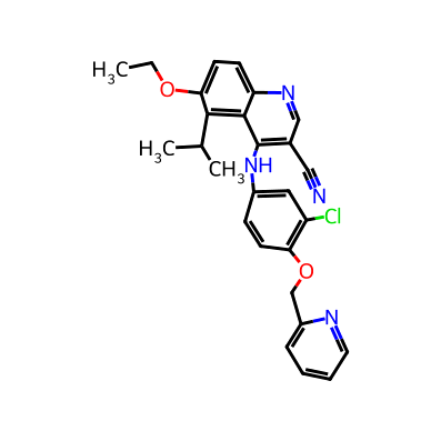 CCOc1ccc2ncc(C#N)c(Nc3ccc(OCc4ccccn4)c(Cl)c3)c2c1C(C)C